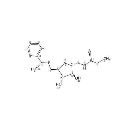 CCC(=O)NC[C@H]1N[C@H](CCC(C)c2ccccc2)[C@@H](O)[C@@H]1O